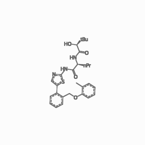 CCC[C@H](NC(=O)[C@@H](O)C(C)(C)C)C(=O)Nc1ncc(-c2ccccc2COc2ccccc2C)s1